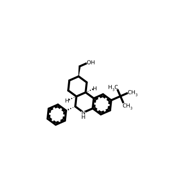 CC(C)(C)c1ccc2c(c1)[C@@H]1C[C@H](CO)CC[C@@H]1[C@@H](c1ccccc1)N2